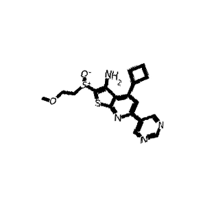 COCC[S+]([O-])c1sc2nc(-c3cncnc3)cc(C3CCC3)c2c1N